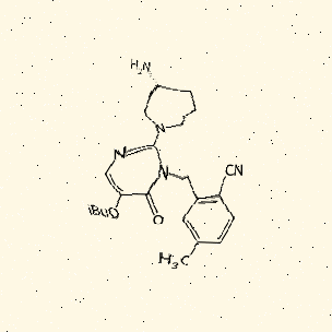 Cc1ccc(C#N)c(Cn2c(N3CCC[C@@H](N)C3)ncc(OCC(C)C)c2=O)c1